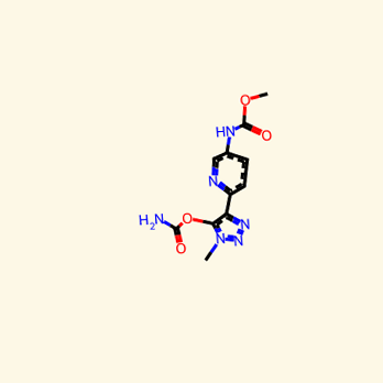 COC(=O)Nc1ccc(-c2nnn(C)c2OC(N)=O)nc1